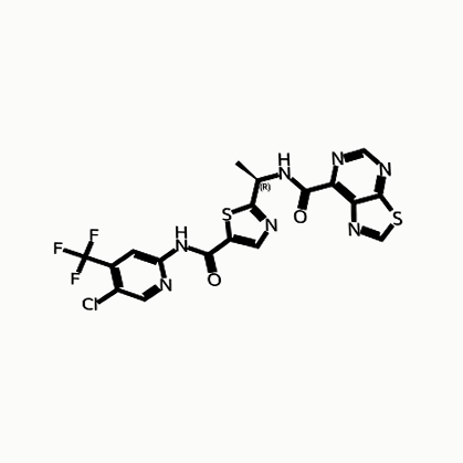 C[C@@H](NC(=O)c1ncnc2scnc12)c1ncc(C(=O)Nc2cc(C(F)(F)F)c(Cl)cn2)s1